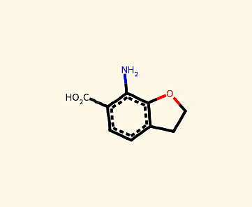 Nc1c(C(=O)O)ccc2c1OCC2